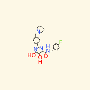 O=C(NCc1ccc(F)cc1)c1nc(-c2ccc(CN3CCCCC3)cc2)nc(O)c1O